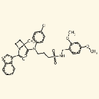 COc1ccc(CNS(=O)(=O)CCCN(C(=O)C2(C)CCN2C(=O)c2csc3ccccc23)c2ccc(Cl)cc2)c(OC)c1